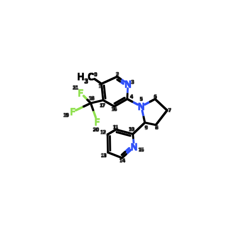 Cc1cnc(N2CCCC2c2ccccn2)cc1C(F)(F)F